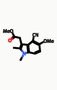 COC(=O)Cc1c(C)n(C)c2ccc(OC)c(C#N)c12